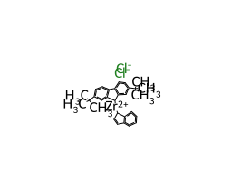 CC(C)(C)c1ccc2c(c1)[CH]([Zr+2][CH]1C=Cc3ccccc31)c1cc(C(C)(C)C)ccc1-2.[Cl-].[Cl-]